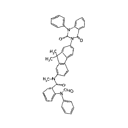 CN(C(=O)c1ccccc1N(C=O)c1ccccc1)c1ccc2c(c1)C(C)(C)c1cc(-n3c(=O)c4ccccc4n(-c4ccccc4)c3=O)ccc1-2